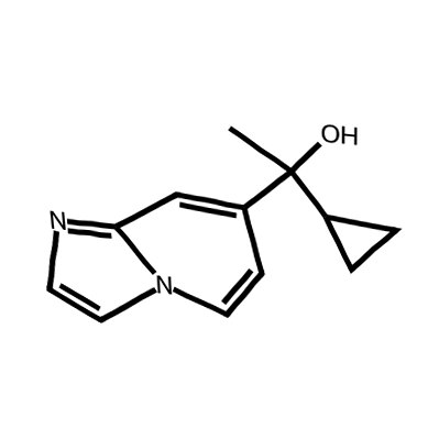 CC(O)(c1ccn2ccnc2c1)C1CC1